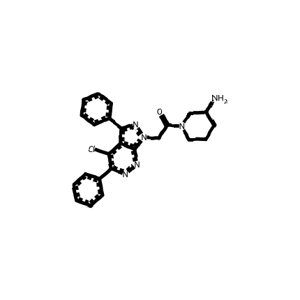 NC1CCCN(C(=O)Cn2nc(-c3ccccc3)c3c(Cl)c(-c4ccccc4)nnc32)C1